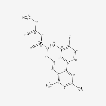 Cc1cc(C)c(C=CCO[PH](=O)CC(=O)CC(=O)O)c(-c2ccc(F)c(C)c2)c1